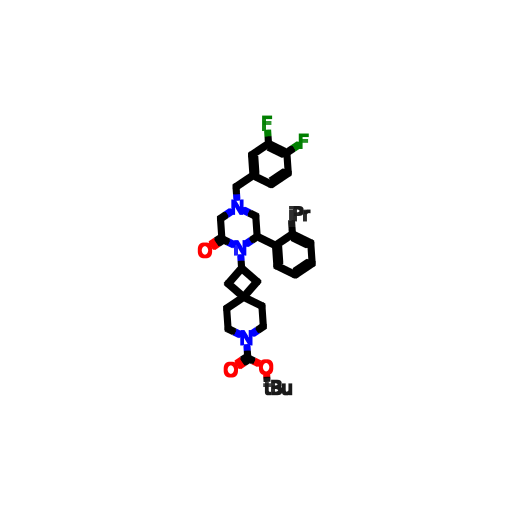 CC(C)c1ccccc1C1CN(Cc2ccc(F)c(F)c2)CC(=O)N1C1CC2(CCN(C(=O)OC(C)(C)C)CC2)C1